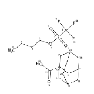 CCCCOS(=O)(=O)C(F)(F)F.O=C(O)C12CC3CC(CC(C3)C1)C2